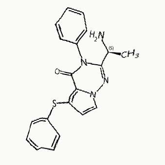 C[C@H](N)c1nn2ccc(Sc3ccccc3)c2c(=O)n1-c1ccccc1